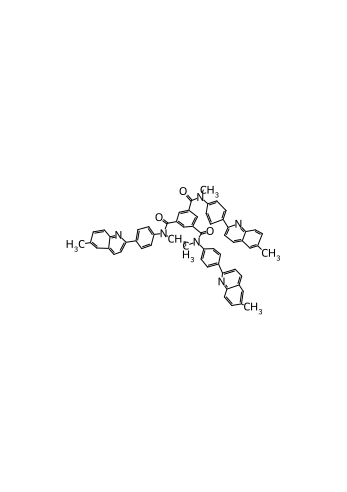 Cc1ccc2nc(-c3ccc(N(C)C(=O)c4cc(C(=O)N(C)c5ccc(-c6ccc7cc(C)ccc7n6)cc5)cc(C(=O)N(C)c5ccc(-c6ccc7cc(C)ccc7n6)cc5)c4)cc3)ccc2c1